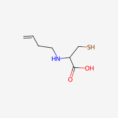 C=CCCNC(CS)C(=O)O